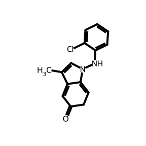 Cc1cn(Nc2ccccc2Cl)c2c1=CC(=O)CC=2